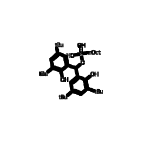 CCCCCCCC[PH](O)(O)OC(c1cc(C(C)(C)C)cc(C(C)(C)C)c1O)c1cc(C(C)(C)C)cc(C(C)(C)C)c1O